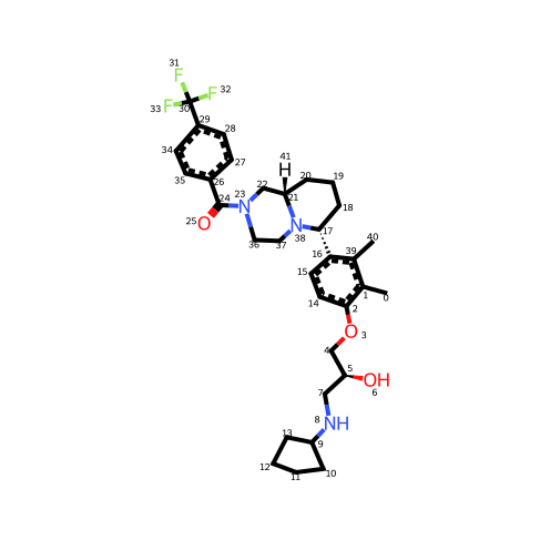 Cc1c(OC[C@@H](O)CNC2CCCC2)ccc([C@H]2CCC[C@H]3CN(C(=O)c4ccc(C(F)(F)F)cc4)CCN32)c1C